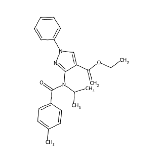 C=C(OCC)c1cn(-c2ccccc2)nc1N(C(=O)c1ccc(C)cc1)C(C)C